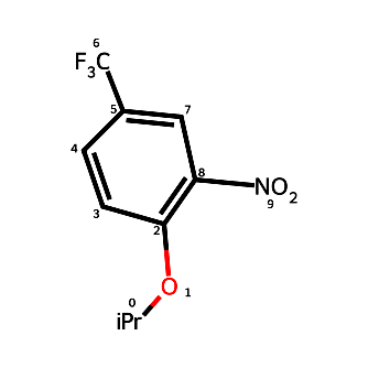 CC(C)Oc1ccc(C(F)(F)F)cc1[N+](=O)[O-]